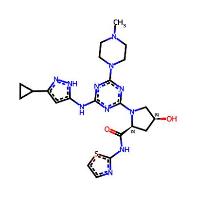 CN1CCN(c2nc(Nc3cc(C4CC4)n[nH]3)nc(N3C[C@@H](O)C[C@H]3C(=O)Nc3nccs3)n2)CC1